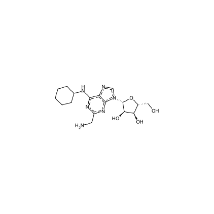 NCc1nc(NC2CCCCC2)c2ncn([C@@H]3O[C@H](CO)[C@@H](O)[C@H]3O)c2n1